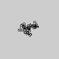 C=C[C@@H]1C[C@]1(NC(=O)[C@@H]1C[C@@H](Oc2nc3ccccc3nc2-c2cccs2)CN1C(=O)[C@H](CNC(=O)C=C(C)C)NC(=O)OC(C)(C)C)C(=O)NS(=O)(=O)C1CC1